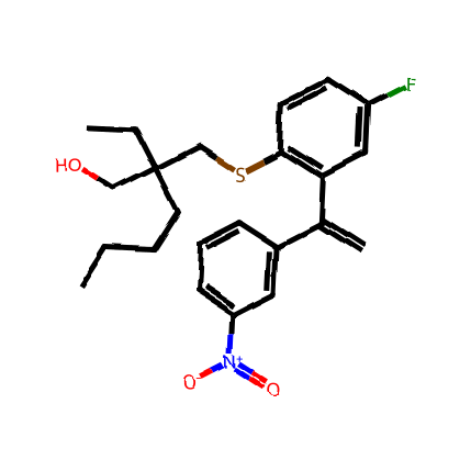 C=C(c1cccc([N+](=O)[O-])c1)c1cc(F)ccc1SCC(CC)(CO)CCCC